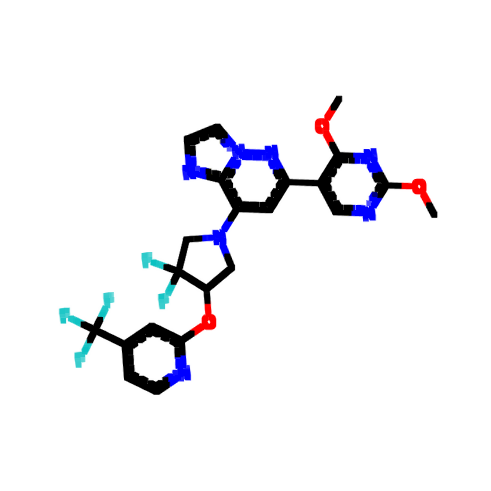 COc1ncc(-c2cc(N3CC(Oc4cc(C(F)(F)F)ccn4)C(F)(F)C3)c3nccn3n2)c(OC)n1